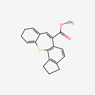 COC(=O)C1=CC2=CCCC=C2Sc2c1ccc1c2CCC1